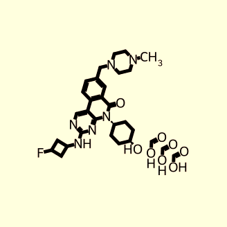 CN1CCN(Cc2ccc3c(c2)c(=O)n([C@H]2CC[C@H](O)CC2)c2nc(NC4CC(F)C4)ncc32)CC1.O=CO.O=CO.O=CO